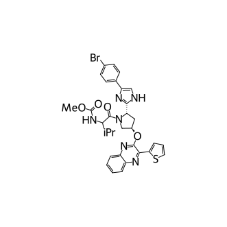 COC(=O)NC(C(=O)N1C[C@H](Oc2nc3ccccc3nc2-c2cccs2)C[C@H]1c1nc(-c2ccc(Br)cc2)c[nH]1)C(C)C